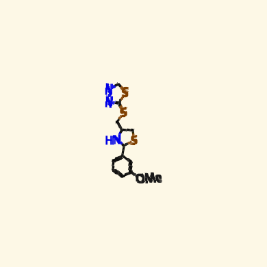 COc1cccc(C2NC(CSC3N=NCS3)CS2)c1